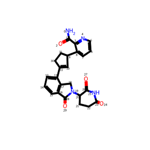 NC(=O)c1ncccc1C1C=C(c2cccc3c2CN(C2CCC(=O)NC2=O)C3=O)CC1